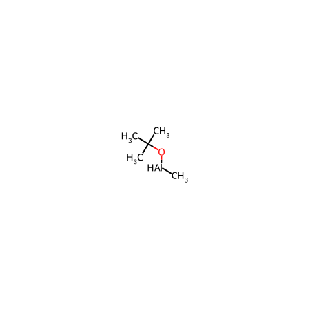 [CH3][AlH][O]C(C)(C)C